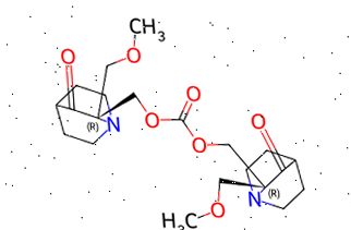 COC[C@@]1(COC(=O)OC[C@]2(COC)C(=O)C3CCN2CC3)C(=O)C2CCN1CC2